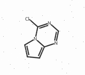 Clc1n[c]nc2cccn12